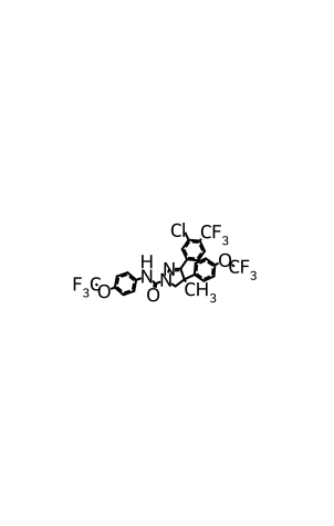 CC1(c2ccc(OC(F)(F)F)cc2)CN(C(=O)Nc2ccc(OC(F)(F)F)cc2)N=C1c1ccc(C(F)(F)F)c(Cl)c1